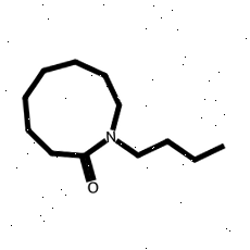 CCCCN1CCCCCCCC1=O